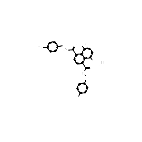 CCc1ccc(ONC(=O)c2ccc(C(=O)NOc3ccc(CC)cc3)c3c(C(=O)O)ccc(C(=O)O)c23)cc1